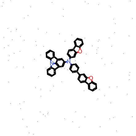 c1ccc2c(c1)oc1cc(-c3ccc(N(c4ccc5c(c4)oc4ccccc45)c4cc5c6ccccc6n6c7ccccc7c(c4)c56)cc3)ccc12